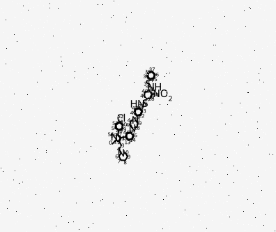 Cc1c(CCN2CCCCC2)c(-c2cccc(N3CCN(c4ccc(NSC5C=C([N+](=O)[O-])C(NSc6ccccc6)CC5)cc4)CC3)c2)c(-c2ccc(Cl)cc2)n1C